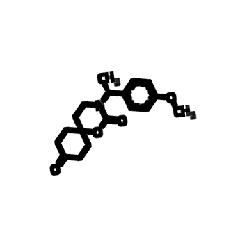 COc1ccc([C@H](C)N2CCC3(CCC(=O)CC3)OC2=O)cc1